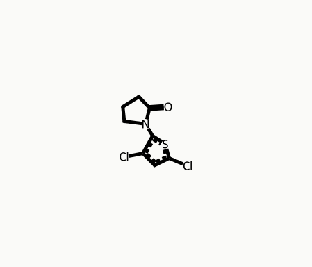 O=C1CCCN1c1sc(Cl)cc1Cl